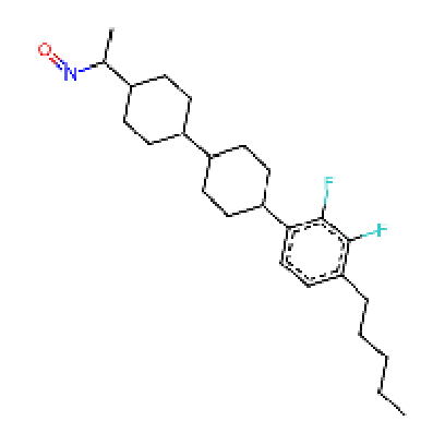 CCCCCc1ccc(C2CCC(C3CCC(C(C)N=O)CC3)CC2)c(F)c1F